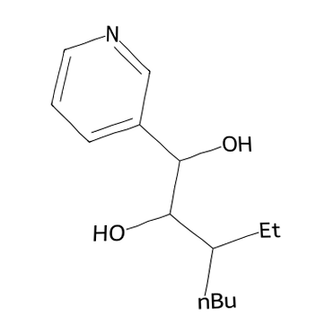 CCCCC(CC)C(O)C(O)c1cccnc1